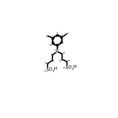 Cc1cc(C)cc(N(CCCS(=O)(=O)O)CCCS(=O)(=O)O)c1